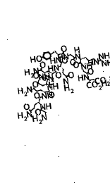 N=C(N)NCCC[C@H](NC(=O)CNC(=O)[C@H](Cc1ccc(O)cc1)NC(=O)[C@H](CCC(N)=O)NC(=O)[C@H](CCC(N)=O)NC(=O)[C@H](CCC(N)=O)NC(=O)[C@H](CCC(N)=O)NC(=O)[C@H](CCC(N)=O)NC(=O)CN)C(=O)NCC(=O)N[C@@H](CC(=O)O)C(=O)O